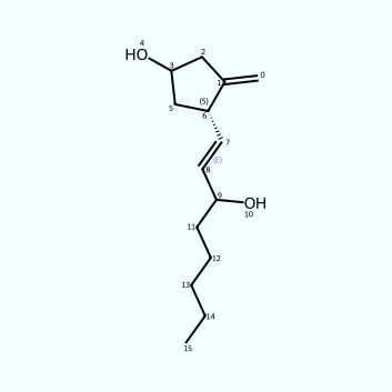 C=C1CC(O)C[C@H]1/C=C/C(O)CCCCC